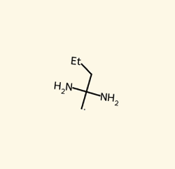 [CH2]C(N)(N)CCC